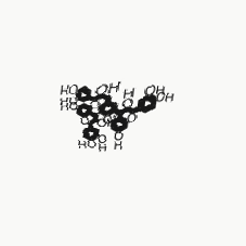 Oc1ccc2c(c1)OC(c1ccc(O)c(O)c1)[C@H](O)C2c1cc2c(c([C@H]3c4ccc(O)cc4OC(c4ccc(O)c(O)c4)[C@H]3O)c1O)OC(c1ccc(O)c(O)c1)[C@@H](O)C2